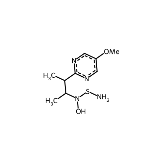 COc1cnc(C(C)C(C)N(O)SN)nc1